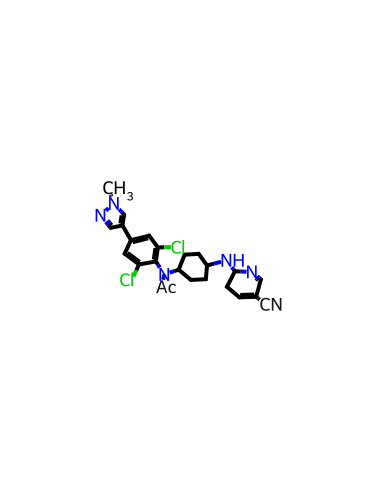 CC(=O)N(c1c(Cl)cc(-c2cnn(C)c2)cc1Cl)C1CCC(NC2CC=C(C#N)C=N2)CC1